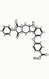 COC(=O)c1ccc(Oc2cccc3c2C2CC4C(=O)N(c5ccccc5)C(=O)N4CC2N3)cc1